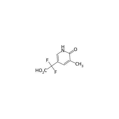 Cc1cc(C(F)(F)C(=O)O)c[nH]c1=O